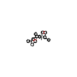 Fc1cc(-c2ccccc2)cc(-c2ccccc2)c1N(c1ccccc1)c1ccc2c(c1)c1ccccc1c1c3ccc(N(c4ccccc4)c4ccccc4-c4ccccc4)cc3sc21